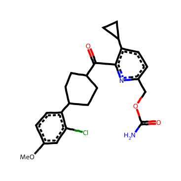 COc1ccc(C2CCC(C(=O)c3nc(COC(N)=O)ccc3C3CC3)CC2)c(Cl)c1